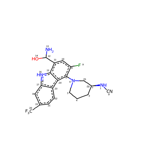 N#CN[C@H]1CCCN(c2c(F)cc(C(N)O)c3[nH]c4cc(C(F)(F)F)ccc4c23)C1